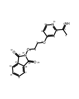 CC(=N)c1cc(OCCON2C(=O)c3ccccc3C2=O)ccn1